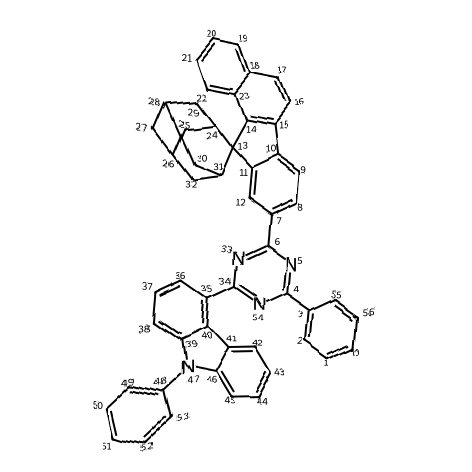 c1ccc(-c2nc(-c3ccc4c(c3)C3(c5c-4ccc4ccccc54)C4CC5CC(C4)CC3C5)nc(-c3cccc4c3c3ccccc3n4-c3ccccc3)n2)cc1